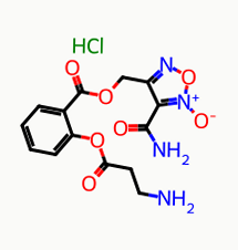 Cl.NCCC(=O)Oc1ccccc1C(=O)OCc1no[n+]([O-])c1C(N)=O